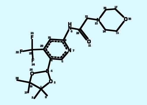 CC1(C)OB(c2cnc(NC(=O)CN3CCOCC3)cc2C(F)(F)F)OC1(C)C